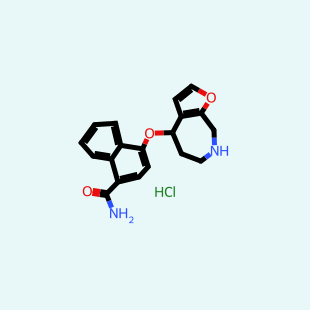 Cl.NC(=O)c1ccc(OC2CCNCc3occc32)c2ccccc12